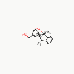 [CH2]C[C@H](c1cccc(CO)c1)c1ccccc1C(C)(C)O